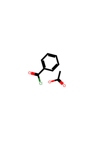 CC([O])=O.O=C(Cl)c1ccccc1